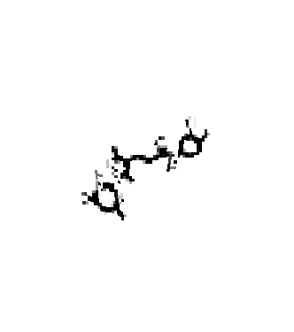 Cc1cc(=O)[nH]c(-n2nc(C)c(CCC(=O)Nc3ccc(F)c(Cl)c3)c2C)n1